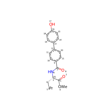 COC(=O)[C@H](CC(C)C)NC(=O)c1ccc(-c2ccc(O)cc2)cc1